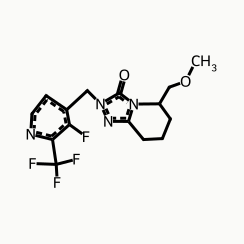 COCC1CCCc2nn(Cc3ccnc(C(F)(F)F)c3F)c(=O)n21